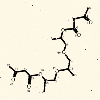 CC(=O)CC(=O)OC(C)COCC(C)OCC(C)OC(=O)CC(C)=O